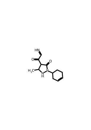 CC1NN(C2CC=CCC2)C(=O)C1C(=O)C=N